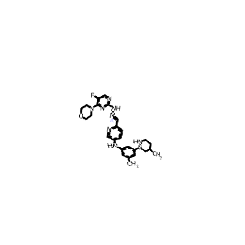 Cc1cc(Nc2ccc(/C=N/Nc3ncc(F)c(N4CCOCC4)n3)nc2)cc(N2CC(C)CCN2)c1